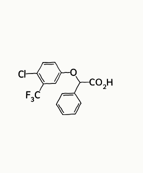 O=C(O)C(Oc1ccc(Cl)c(C(F)(F)F)c1)c1ccccc1